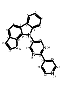 c1ccc2c(c1)c1ccc3ccsc3c1n2-c1cnc(-c2ccncc2)nc1